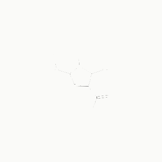 COC1OC(C(=O)O)C(O)C1I